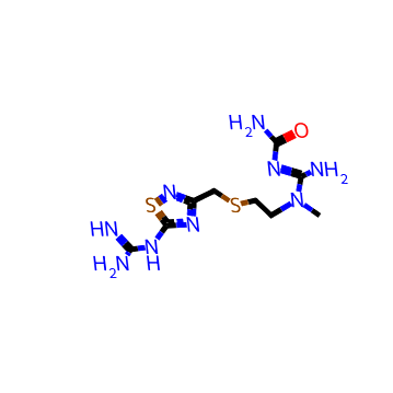 CN(CCSCc1nsc(NC(=N)N)n1)C(N)=NC(N)=O